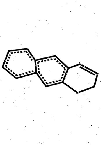 [C]1=CCCc2cc3ccccc3cc21